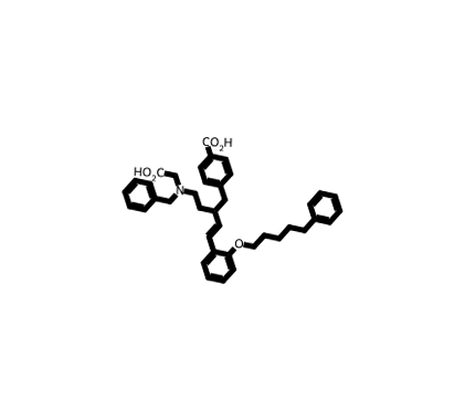 O=C(O)CN(CCC(/C=C/c1ccccc1OCCCCCc1ccccc1)Cc1ccc(C(=O)O)cc1)Cc1ccccc1